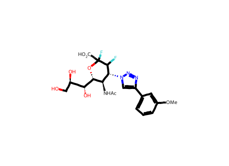 COc1cccc(-c2cn([C@H]3C(F)C(F)(C(=O)O)O[C@@H]([C@H](O)[C@H](O)CO)[C@@H]3NC(C)=O)nn2)c1